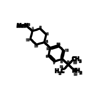 CNC1CCC(c2ccc(C(C)(C)N)cc2)CC1